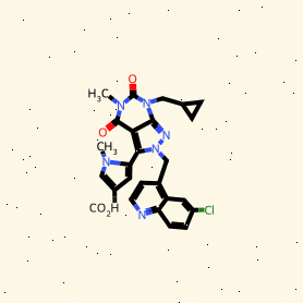 Cn1cc(C(=O)O)cc1-c1c2c(=O)n(C)c(=O)n(CC3CC3)c2nn1Cc1ccnc2ccc(Cl)cc12